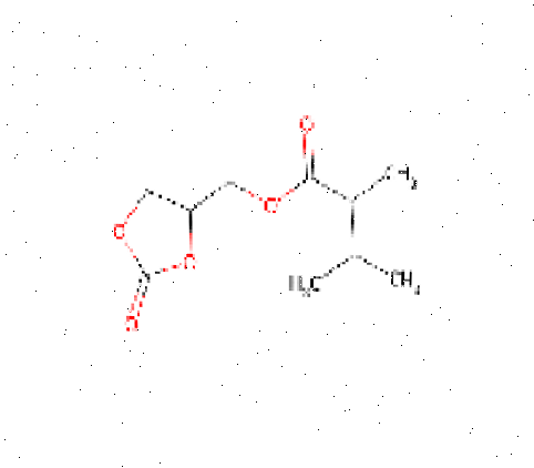 CC(C)C(C)C(=O)OCC1COC(=O)O1